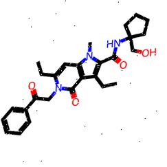 CCc1c(C(=O)NC2(CO)CCCC2)n(C)c2cc(CC)n(CC(=O)c3ccccc3)c(=O)c12